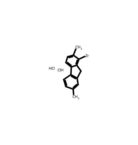 Cc1ccc2c(c1)Cc1c-2ccc(C)[c]1[Zr].Cl.Cl